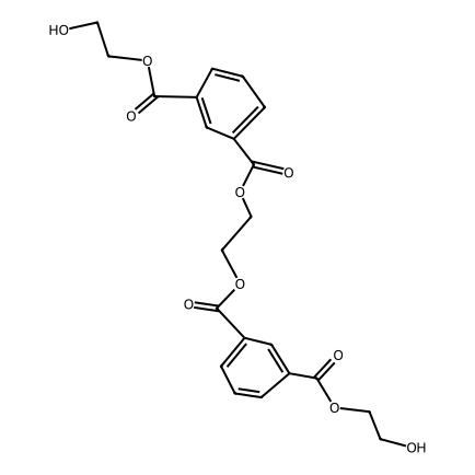 O=C(OCCO)c1cccc(C(=O)OCCOC(=O)c2cccc(C(=O)OCCO)c2)c1